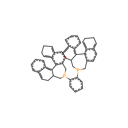 C1=c2ccccc2=C2c3c(ccc4c3=CCCC=4)CP(c3ccccc3P3Cc4ccc5c(c4C4=c6ccccc6=CCC4C3)=CCCC=5)CC2C1